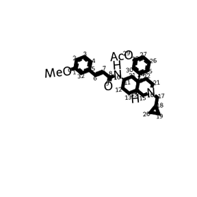 COc1cccc(C=CC(=O)N[C@H]2CC[C@@H]3CN(CC4CC4)CC[C@@]3(c3cccc(OC(C)=O)c3)C2)c1